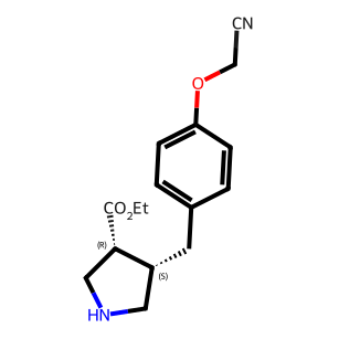 CCOC(=O)[C@H]1CNC[C@H]1Cc1ccc(OCC#N)cc1